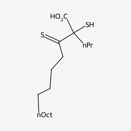 CCCCCCCCCCCCC(=S)C(S)(CCC)C(=O)O